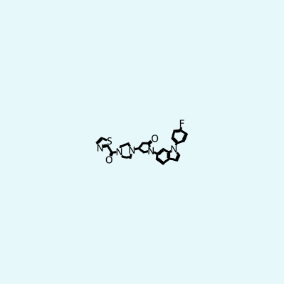 O=C(c1nccs1)N1CCN(C2CC(=O)N(c3ccc4ccn(-c5ccc(F)cc5)c4c3)C2)CC1